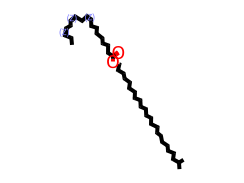 CC/C=C\C/C=C\C/C=C\CCCCCCCC(=O)OCCCCCCCCCCCCCCCCCCCCCCC(C)C